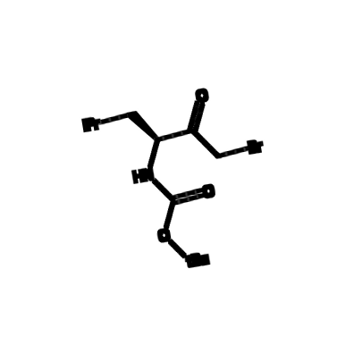 CC(C)C[C@H](NC(=O)OC(C)(C)C)C(=O)CBr